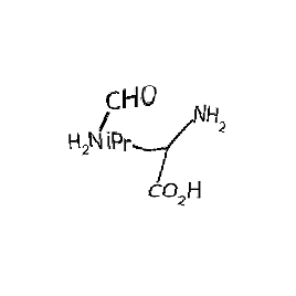 CC(C)C(N)C(=O)O.NC=O